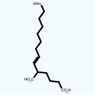 CCCCCCCCCCCCCCCCC=CC(CCCC(=O)O)C(=O)O